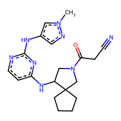 Cn1cc(Nc2nccc(NC3CN(C(=O)CC#N)CC34CCCC4)n2)cn1